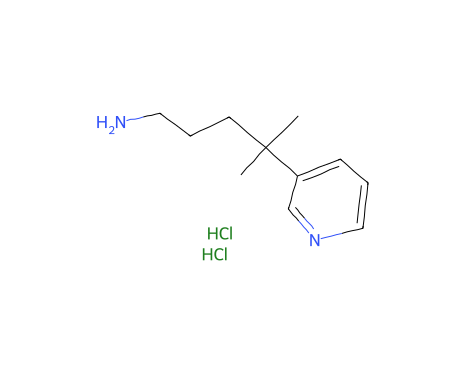 CC(C)(CCCN)c1cccnc1.Cl.Cl